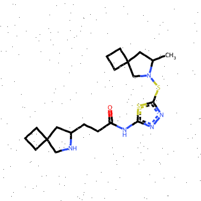 CC1CC2(CCC2)CN1Sc1nnc(NC(=O)CCC2CC3(CCC3)CN2)s1